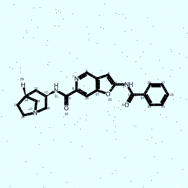 O=C(Nc1cc2cnc(C(=O)N[C@@H]3C[C@H]4CCN(C4)C3)cc2o1)c1ccccc1